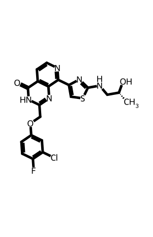 C[C@@H](O)CNc1nc(-c2nccc3c(=O)[nH]c(COc4ccc(F)c(Cl)c4)nc23)cs1